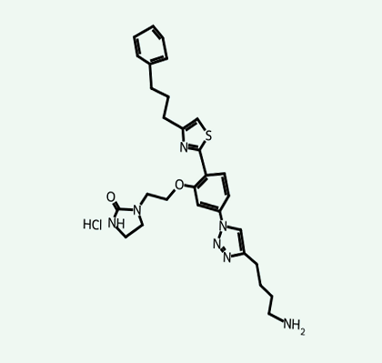 Cl.NCCCCc1cn(-c2ccc(-c3nc(CCCc4ccccc4)cs3)c(OCCN3CCNC3=O)c2)nn1